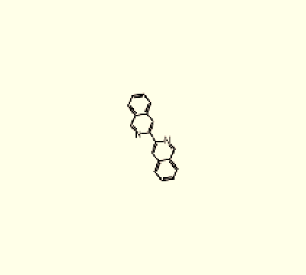 c1ccc2cc(-c3cc4ccccc4cn3)ncc2c1